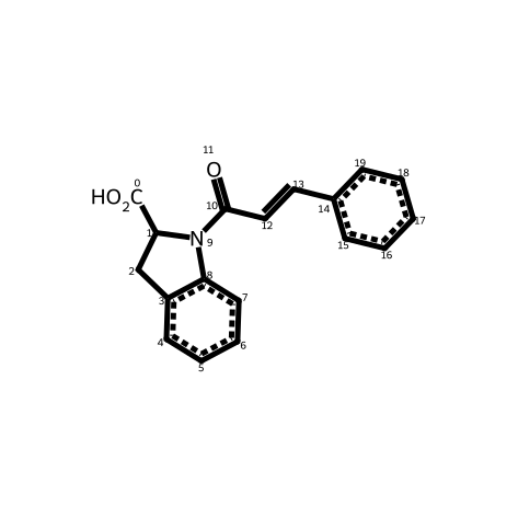 O=C(O)C1Cc2ccccc2N1C(=O)C=Cc1ccccc1